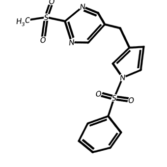 CS(=O)(=O)c1ncc(Cc2ccn(S(=O)(=O)c3ccccc3)c2)cn1